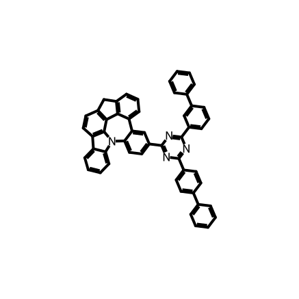 c1ccc(-c2ccc(-c3nc(-c4cccc(-c5ccccc5)c4)nc(-c4ccc5c(c4)-c4cccc6c4-c4c(ccc7c8ccccc8n-5c47)C6)n3)cc2)cc1